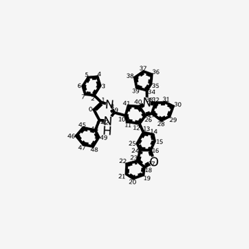 C1=C(c2ccccc2)N=C(c2cc(-c3ccc4oc5ccccc5c4c3)c3c4ccccc4n(-c4ccccc4)c3c2)NC1c1ccccc1